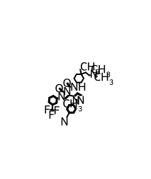 CCC1(CCN(C)C)CCC(NC(=O)n2c(-c3ccnn3-c3ccc(C#N)cc3)c(C)n(-c3cccc(C(F)(F)F)c3)c2=O)CC1